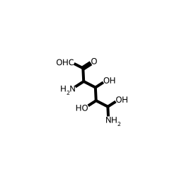 NC(O)C(O)C(O)C(N)C(=O)C=O